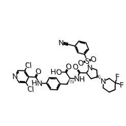 N#Cc1cccc(S(=O)(=O)N2C[C@H](N3CCCC(F)(F)C3)CC2C(=O)N[C@@H](Cc2ccc(NC(=O)c3c(Cl)cncc3Cl)cc2)C(=O)O)c1